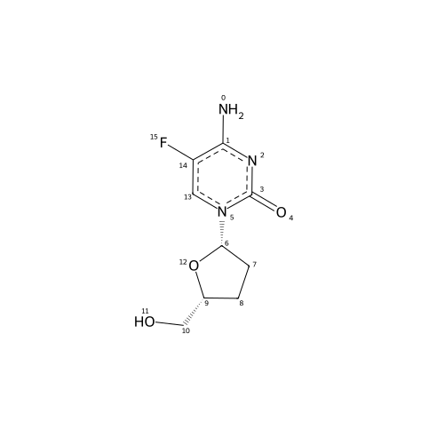 Nc1nc(=O)n([C@@H]2CC[C@H](CO)O2)cc1F